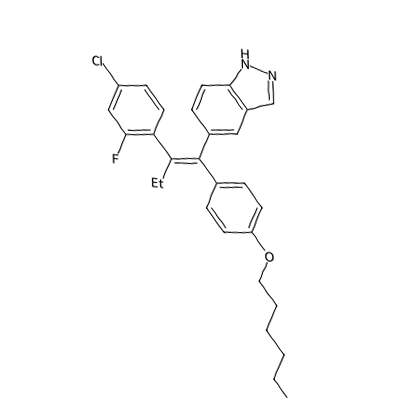 CCC(=C(c1ccc(OCCCCCC(=O)O)cc1)c1ccc2[nH]ncc2c1)c1ccc(Cl)cc1F